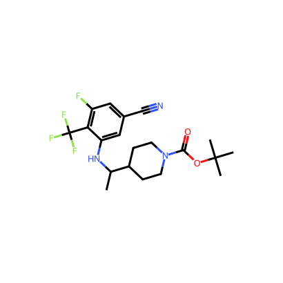 CC(Nc1cc(C#N)cc(F)c1C(F)(F)F)C1CCN(C(=O)OC(C)(C)C)CC1